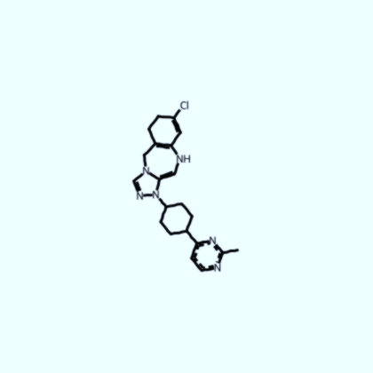 Cc1nccc(C2CCC(N3N=CN4CC5=C(C=C(Cl)CC5)NC=C43)CC2)n1